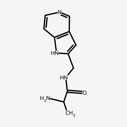 CC(N)C(=O)NCc1cc2cnccc2[nH]1